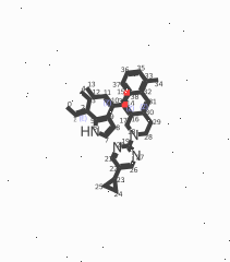 C/C=C(\CC)c1[nH]ccc1C(=C\CC)/C(C)=C1\CN(c2ncc(C3CC3)cn2)CC\C1=C\c1c(C)cccc1C